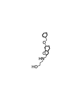 OCCCNCc1cc2ccc(OCc3ccccc3)cc2o1